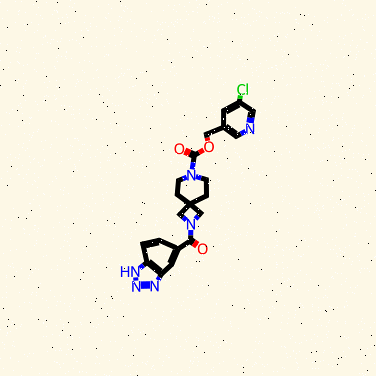 O=C(OCc1cncc(Cl)c1)N1CCC2(CC1)CN(C(=O)c1ccc3[nH]nnc3c1)C2